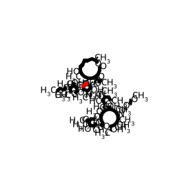 CC[C@H]1OC(=O)[C@H](C)[C@@H](O[C@H]2C[C@@](C)(OC)[C@@H](O)[C@H](C)O2)[C@H](C)[C@@H](O[C@@H]2O[C@H](C)C[C@H](N(C)C)[C@H]2O)[C@](C)(O)C[C@@H](C)/C(=N\OCOCCOC)[C@H](C)[C@@H](O)[C@]1(C)O.COC1[C@@H](O[C@@H]2O[C@H](C)[C@@H](O[C@H]3C[C@@](C)(O)[C@H](OC(=O)CC(C)C)[C@H](C)O3)[C@H](N(C)C)[C@H]2O)[C@@H](CC=O)C[C@@H](C)[C@@H](O)/C=C/C=C/C[C@@H](C)OC(=O)C[C@H]1OC(C)=O